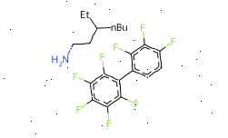 CCCCC(CC)CCN.Fc1ccc(-c2c(F)c(F)c(F)c(F)c2F)c(F)c1F